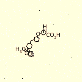 CN(C)C1(c2ccccc2)CCC(Cc2cccc(O[C@H]3CN[C@H](C(=O)O)C3)c2)CC1